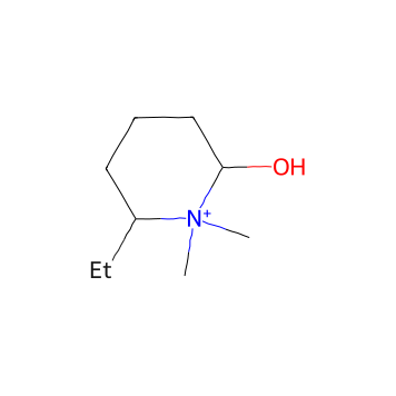 CCC1CCCC(O)[N+]1(C)C